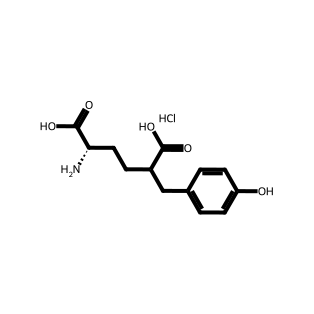 Cl.N[C@@H](CCC(Cc1ccc(O)cc1)C(=O)O)C(=O)O